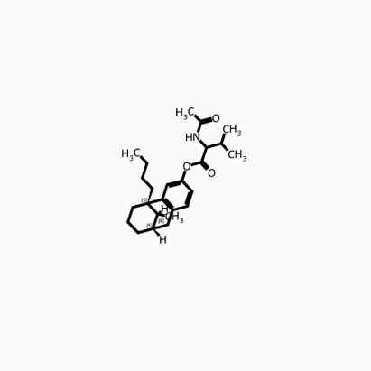 CCCC[C@@]12CCC[C@@H](Cc3ccc(OC(=O)C(NC(C)=O)C(C)C)cc31)[C@H]2C